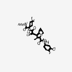 CNC(=O)C1(NC(=O)C(=O)c2c(C)c(C(=O)Nc3ccc(F)c(Cl)c3)n3c2C2CC2C3)CC(F)(F)C1